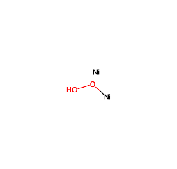 O[O][Ni].[Ni]